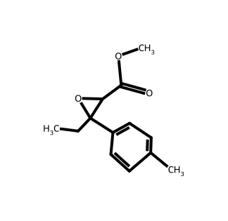 CCC1(c2ccc(C)cc2)OC1C(=O)OC